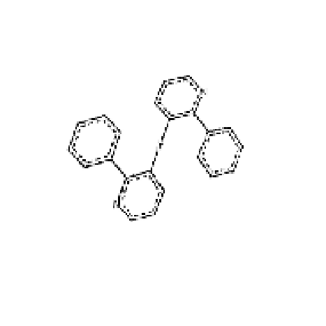 c1ccc(-c2nccc[c]2[Ir][c]2cccnc2-c2ccccc2)cc1